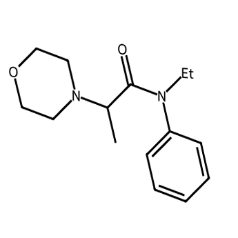 CCN(C(=O)C(C)N1CCOCC1)c1ccccc1